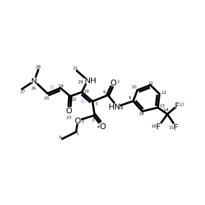 CCOC(=O)/C(C(=O)Nc1cccc(C(F)(F)F)c1)=C(/NC)C(=O)/C=C/N(C)C